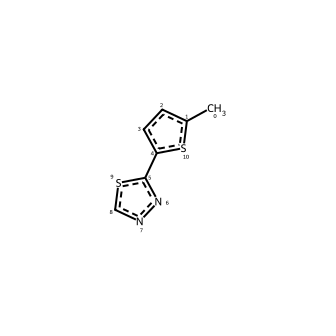 Cc1ccc(-c2nncs2)s1